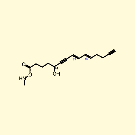 C#CCC/C=C/C=C/C#C[C@@H](O)CCCC(=O)ONC